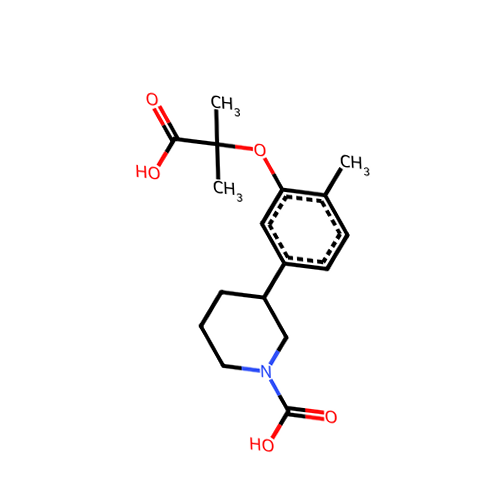 Cc1ccc(C2CCCN(C(=O)O)C2)cc1OC(C)(C)C(=O)O